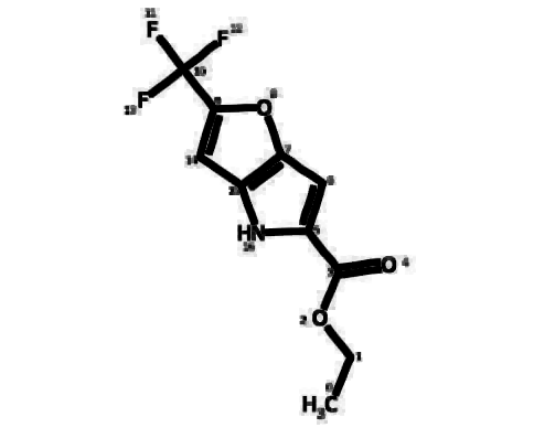 CCOC(=O)c1cc2oc(C(F)(F)F)cc2[nH]1